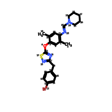 Cc1cc(Oc2nc(Cc3ccc(Br)cc3)ns2)c(C)cc1N=CN1CCCCC1